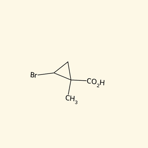 CC1(C(=O)O)CC1Br